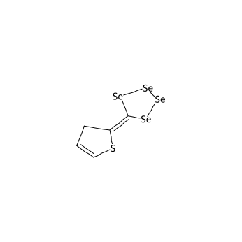 C1=CSC(=C2[Se][Se][Se][Se]2)C1